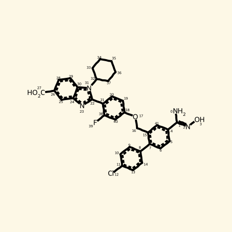 N/C(=N\O)c1ccc(-c2ccc(Cl)cc2)c(COc2ccc(-c3nc4cc(C(=O)O)ccc4n3C3CCCCC3)c(F)c2)c1